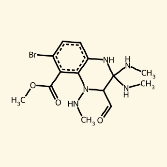 CNN1c2c(ccc(Br)c2C(=O)OC)NC(NC)(NC)C1C=O